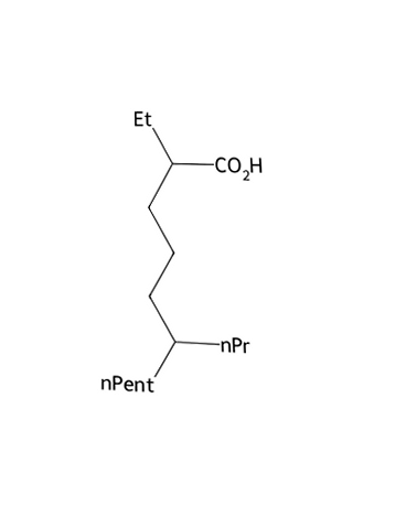 CCCCCC(CCC)CCCC(CC)C(=O)O